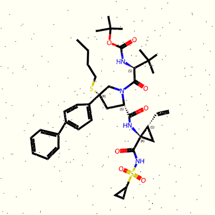 C=C[C@@H]1C[C@]1(NC(=O)[C@@H]1C[C@@](SCCCC)(c2ccc(-c3ccccc3)cc2)CN1C(=O)[C@@H](NC(=O)OC(C)(C)C)C(C)(C)C)C(=O)NS(=O)(=O)C1CC1